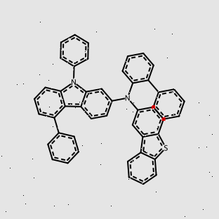 c1ccc(-c2ccccc2N(c2ccc3sc4ccccc4c3c2)c2ccc3c4c(-c5ccccc5)cccc4n(-c4ccccc4)c3c2)cc1